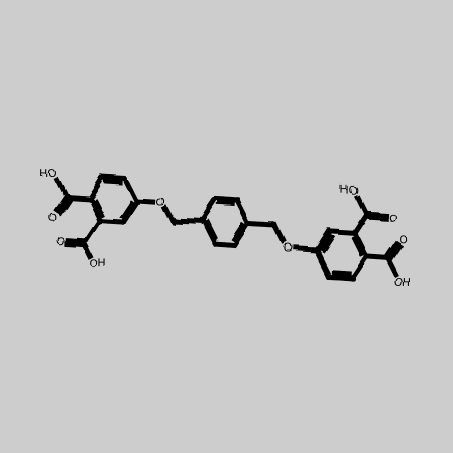 O=C(O)c1ccc(OCc2ccc(COc3ccc(C(=O)O)c(C(=O)O)c3)cc2)cc1C(=O)O